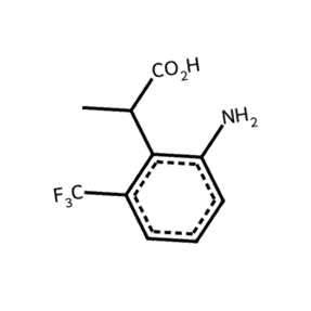 CC(C(=O)O)c1c(N)cccc1C(F)(F)F